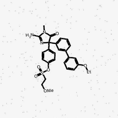 CCOc1cccc(-c2cccc(C3(c4ccc(OS(=O)(=O)CCOC)cc4)N=C(N)N(C)C3=O)c2)c1